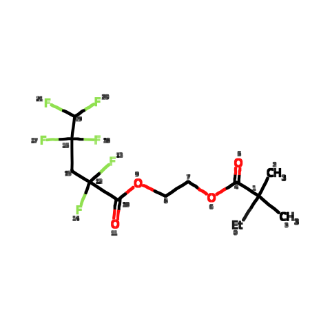 CCC(C)(C)C(=O)OCCOC(=O)C(F)(F)CC(F)(F)C(F)F